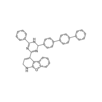 C1=C(C2=NC(c3ccc(-c4ccc(-c5ccccc5)cc4)cc3)NC(c3ccccc3)=N2)c2c(oc3ccccc23)NC1